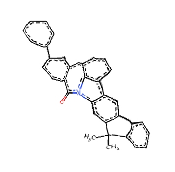 CC1(C)c2ccccc2-c2cc3c4cccc5c6cc(-c7ccccc7)ccc6c(=O)n(c3cc21)c54